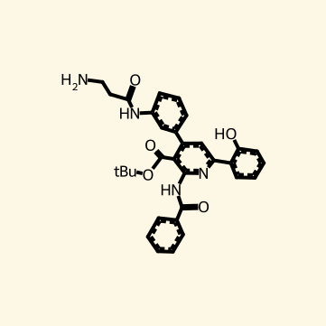 CC(C)(C)OC(=O)c1c(-c2cccc(NC(=O)CCN)c2)cc(-c2ccccc2O)nc1NC(=O)c1ccccc1